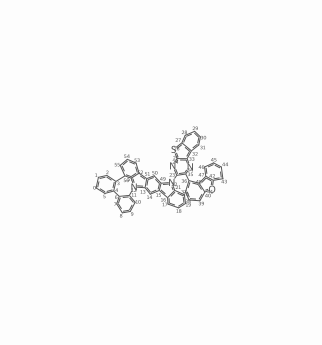 c1ccc2c(c1)-c1ccccc1-n1c3cc4c5ccccc5n(-c5nc6sc7ccccc7c6nc5-c5cccc6oc7ccccc7c56)c4cc3c3cccc-2c31